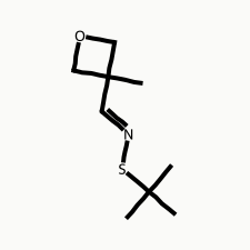 CC1(/C=N/SC(C)(C)C)COC1